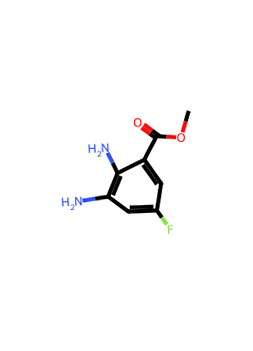 COC(=O)c1cc(F)cc(N)c1N